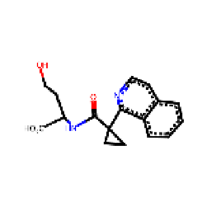 O=C(O)C(CCO)NC(=O)C1(c2nccc3ccccc23)CC1